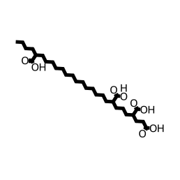 CCCCC(CCCCCCCCCCCCCCC(CCCC(CCC(=O)O)C(=O)O)C(=O)O)C(=O)O